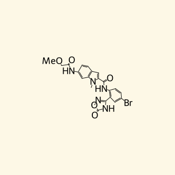 COCC(=O)Nc1ccc2cc(C(=O)Nc3ccc(Br)cc3-c3noc(=O)[nH]3)n(C)c2c1